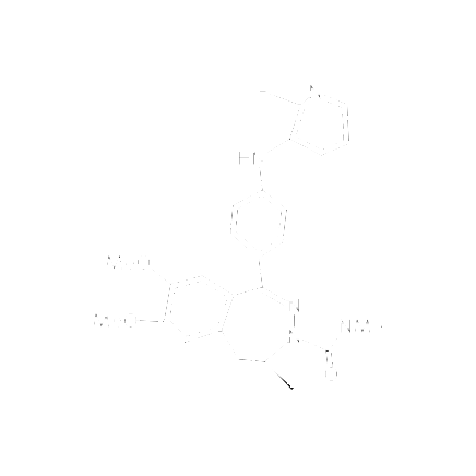 CNC(=O)N1N=C(c2ccc(Nc3cccnc3F)cc2)c2cc(OC)c(OC)cc2C[C@@H]1C